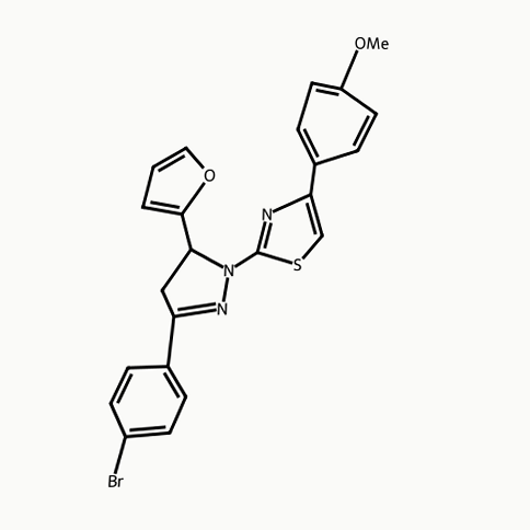 COc1ccc(-c2csc(N3N=C(c4ccc(Br)cc4)CC3c3ccco3)n2)cc1